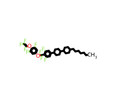 CCCCCCCC1CCC(C2CCC(c3cc(F)c(C(F)(F)Oc4cc(F)c(OC(F)=C(F)F)c(F)c4)c(F)c3)CC2)CC1